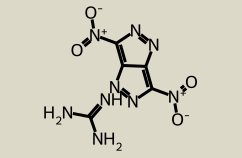 N=C(N)N.O=[N+]([O-])C1=C2N=NC([N+](=O)[O-])=C2N=N1